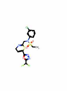 CCS(=O)(=O)N(CC1=NCC=C(c2nnc(C(F)F)o2)S1)c1cccc(Cl)c1